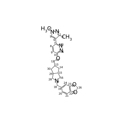 Cc1nn(C)cc1-c1ccc(OCC2CC3CN(Cc4ccc5c(c4)OCO5)CC3C2)nn1